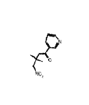 CC(C)(CC(=O)c1cccnc1)C[N+](=O)[O-]